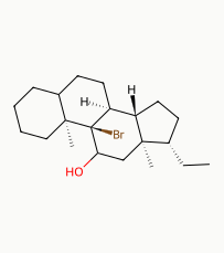 CC[C@H]1CC[C@H]2[C@@H]3CCC4CCCC[C@]4(C)[C@@]3(Br)C(O)C[C@]12C